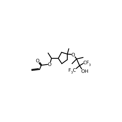 C=CC(=O)OC(C)C1CCC(C)(OC(C)(C)C(O)(C(F)(F)F)C(F)(F)F)C1